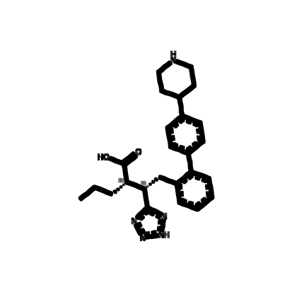 CCC[C@H](C(=O)O)[C@H](Cc1ccccc1-c1ccc(C2CCNCC2)cc1)c1nn[nH]n1